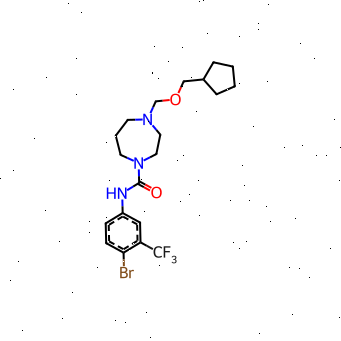 O=C(Nc1ccc(Br)c(C(F)(F)F)c1)N1CCCN(COCC2CCCC2)CC1